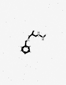 CNNCC(C)COCc1ccccc1